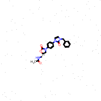 CC(=O)NC[C@H]1CN(c2ccc(-n3ccn(Cc4ccccc4)c3=O)cc2)C(=O)O1